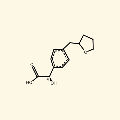 O=C(O)[C@H](O)c1ccc(CC2CCCO2)cc1